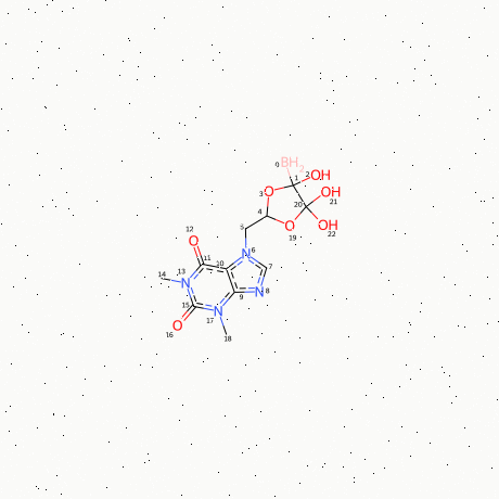 BC1(O)OC(Cn2cnc3c2c(=O)n(C)c(=O)n3C)OC1(O)O